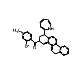 Cc1ccc(C(=O)C2C=c3c(ccc4c3=CCc3ccccc3-4)C(C3=CC=CC=CN3)C2)c(Br)c1